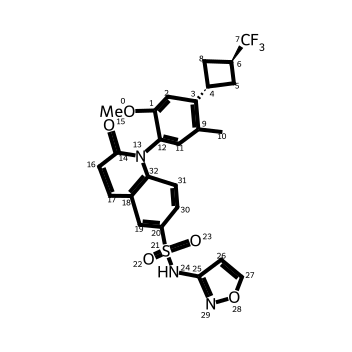 COc1cc([C@H]2C[C@H](C(F)(F)F)C2)c(C)cc1-n1c(=O)ccc2cc(S(=O)(=O)Nc3ccon3)ccc21